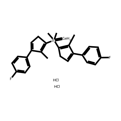 CC1=[C]([Zr]([CH3])([CH3])(=[GeH2])[C]2=C(C)C(c3ccc(F)cc3)=CC2)CC=C1c1ccc(F)cc1.Cl.Cl